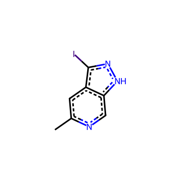 Cc1cc2c(I)n[nH]c2cn1